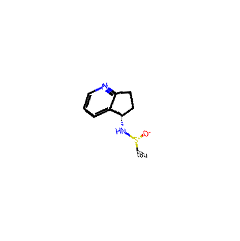 CC(C)(C)[S+]([O-])N[C@H]1CCc2ncccc21